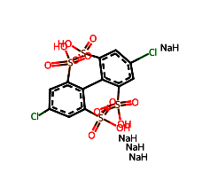 O=S(=O)(O)c1cc(Cl)cc(S(=O)(=O)O)c1-c1c(S(=O)(=O)O)cc(Cl)cc1S(=O)(=O)O.[NaH].[NaH].[NaH].[NaH]